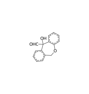 O=CC1(O)c2ccccc2COc2ccccc21